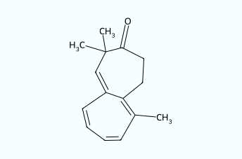 CC1=C2CCC(=O)C(C)(C)C=C2C=CC=C1